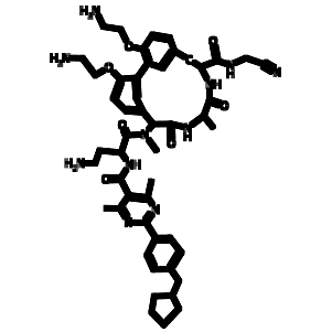 Cc1nc(-c2ccc(CC3CCCC3)cc2)nc(C)c1C(=O)NC(CCN)C(=O)N(C)C1C(=O)NC(C)C(=O)NC(C(=O)NCC#N)Cc2ccc(OCCN)c(c2)-c2cc1ccc2OCCN